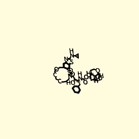 O=C(N[C@@H](Cc1ccccc1)[C@H](O)CN1CCCCCCCOCc2cc3nc(NC4CC4)sc3cc2S1(=O)=O)O[C@H]1C[C@H]2CO[C@H]3OCC[C@@H]1[C@@H]23